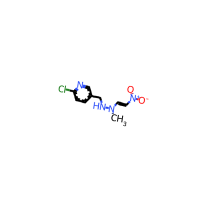 CN(C=C[N+](=O)[O-])NCc1ccc(Cl)nc1